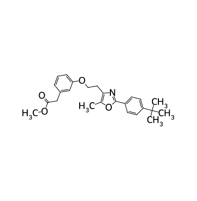 COC(=O)Cc1cccc(OCCc2nc(-c3ccc(C(C)(C)C)cc3)oc2C)c1